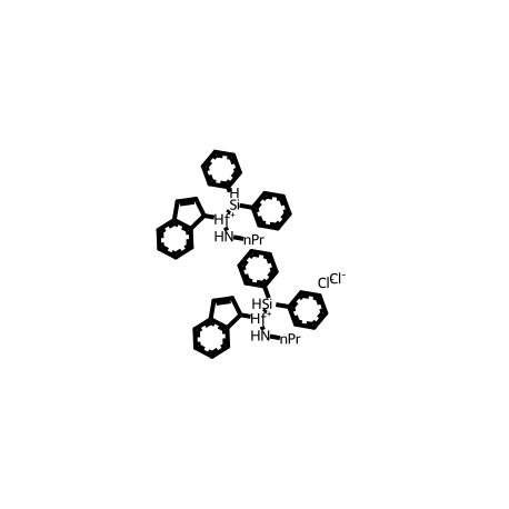 CCC[NH][Hf+]([CH]1C=Cc2ccccc21)[SiH](c1ccccc1)c1ccccc1.CCC[NH][Hf+]([CH]1C=Cc2ccccc21)[SiH](c1ccccc1)c1ccccc1.[Cl-].[Cl-]